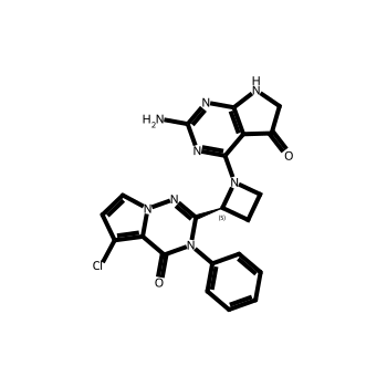 Nc1nc2c(c(N3CC[C@H]3c3nn4ccc(Cl)c4c(=O)n3-c3ccccc3)n1)C(=O)CN2